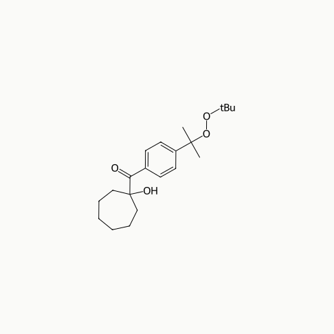 CC(C)(C)OOC(C)(C)c1ccc(C(=O)C2(O)CCCCCC2)cc1